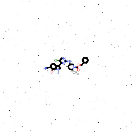 C[C@H]1CC[C@H](Nc2ncc(Cl)c(-c3c[nH]c4c(Br)c(C#N)ccc34)n2)CN1C(=O)OCc1ccccc1